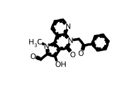 Cn1c(C=O)c(O)c2c(=O)n(CC(=O)c3ccccc3)c3ncccc3c21